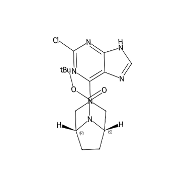 CC(C)(C)OC(=O)N1[C@@H]2CC[C@H]1CN(c1nc(Cl)nc3[nH]cnc13)C2